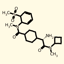 CN(C(=O)[C@@H](N)C1CCC(C(=O)N(C)C2C=CC=CC2S(C)(=O)=O)CC1)C1CCC1